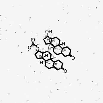 CCC(=O)O[C@H]1CC[C@H]2[C@@H]3CCC4=CC(=O)CC[C@]4(C)[C@H]3CC[C@]12C.C[C@]12CC[C@H]3[C@@H](CCC4CC(=O)CC[C@@]43C)[C@@H]1CC[C@@H]2O